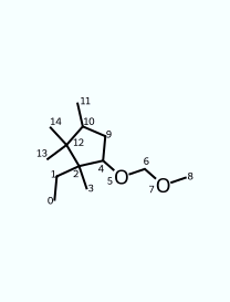 CCC1(C)C(OCOC)CC(C)C1(C)C